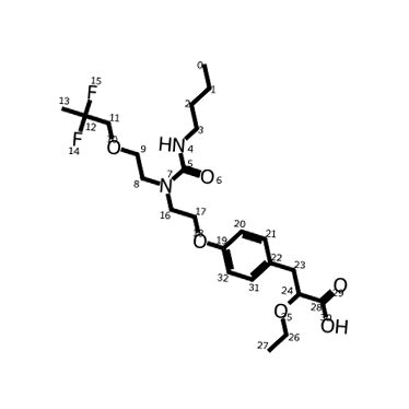 CCCCNC(=O)N(CCOCC(C)(F)F)CCOc1ccc(CC(OCC)C(=O)O)cc1